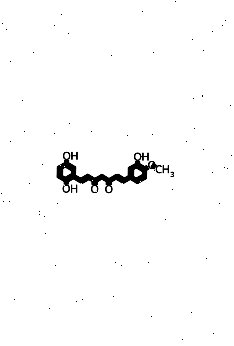 COc1ccc(C=CC(=O)CC(=O)C=Cc2cc(O)ccc2O)cc1O